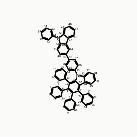 c1ccc(-c2c(-c3ccccc3)c(-c3ccccc3)c3c(c2-c2ccccc2)c2ccccc2n3-c2ccc(-c3ccc4c(c3)c3ccccc3n4-c3ccccc3)cc2)cc1